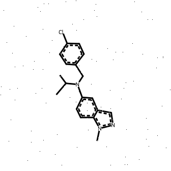 CC(C)N(Cc1ccc(Cl)cc1)c1ccc2c(cnn2C)c1